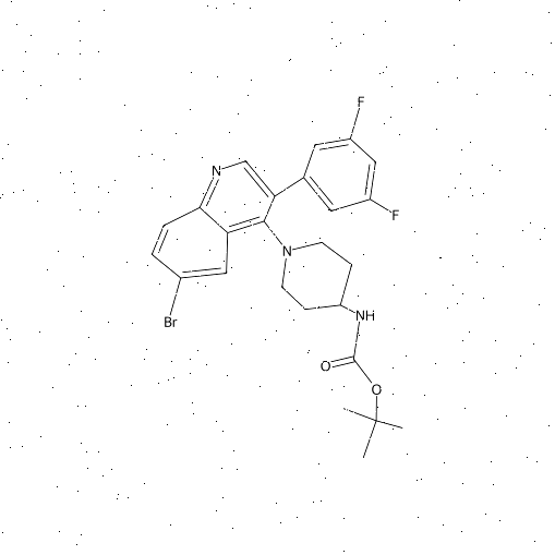 CC(C)(C)OC(=O)NC1CCN(c2c(-c3cc(F)cc(F)c3)cnc3ccc(Br)cc23)CC1